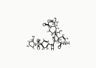 CCC1(n2nc(Nc3ccc(S(=O)(=O)N4CCCC4C)cc3)c3c(=O)[nH]ccc32)CCN(C(=O)O)C(C(C)(C)C)C1